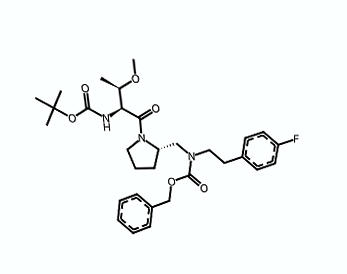 CO[C@H](C)[C@H](NC(=O)OC(C)(C)C)C(=O)N1CCC[C@H]1CN(CCc1ccc(F)cc1)C(=O)OCc1ccccc1